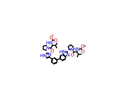 COC(=O)NC(C(=O)N1CCC[C@H]1c1nc(-c2cccc(-c3ccc4nc([C@@H]5CCCN5C(=O)C(NC(=O)OC)C(C)C)[nH]c4c3)c2)c[nH]1)C(C)C